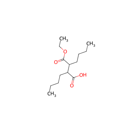 CCCCC(C(=O)O)C(CCCC)C(=O)OCC